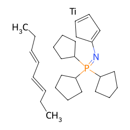 C1=CCC(N=P(C2CCCC2)(C2CCCC2)C2CCCC2)=C1.CCC=CC=CCC.[Ti]